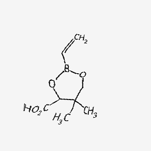 C=CB1OCC(C)(C)C(C(=O)O)O1